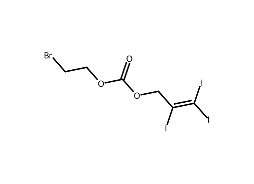 O=C(OCCBr)OCC(I)=C(I)I